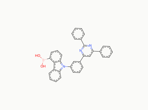 OB(O)c1cccc2c1c1ccccc1n2-c1cccc(-c2cc(-c3ccccc3)nc(-c3ccccc3)n2)c1